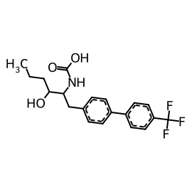 CCCC(O)C(Cc1ccc(-c2ccc(C(F)(F)F)cc2)cc1)NC(=O)O